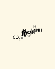 N=CNc1ncc(C(=O)Oc2ccc(CC(=O)O)n3ccnc23)cn1